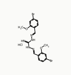 COc1cc(Br)ccc1C=NNC(=N)NN=Cc1ccc(Br)cc1OC.Cl